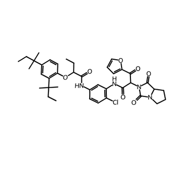 CCC(Oc1ccc(C(C)(C)CC)cc1C(C)(C)CC)C(=O)Nc1ccc(Cl)c(NC(=O)C(C(=O)c2ccco2)N2C(=O)C3CCCN3C2=O)c1